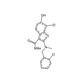 CNC(=O)c1c(N(C)Cc2ccccc2Cl)sc2c(Cl)c(O)ccc12